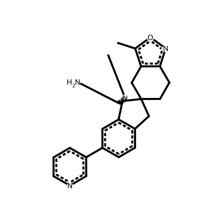 Cc1onc2c1CC1(CC2)Cc2ccc(-c3cccnc3)cc2C12N=C(N)N(C)O2